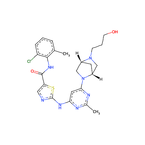 Cc1nc(Nc2ncc(C(=O)Nc3c(C)cccc3Cl)s2)cc(N2C[C@H]3C[C@@H]2CN3CCCO)n1